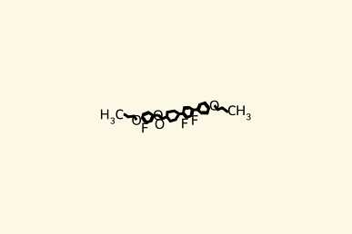 CCCCOc1ccc(-c2ccc(C3CCC(C(=O)Oc4ccc(OCCCC)c(F)c4)CC3)c(F)c2F)cc1